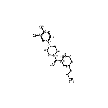 O=C([C@H]1CN(CCC(F)(F)F)CCN1)N1CCN(c2ccc(Cl)c(Cl)c2)CC1